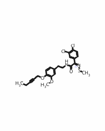 CCC#CCOc1ccc(CCNC(=O)/C(=N\SC)c2ccc(Cl)c(Cl)c2)cc1OC